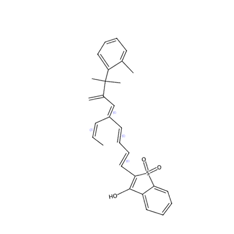 C=C(/C=C(\C=C/C)/C=C/C=C/C1=C(O)c2ccccc2S1(=O)=O)C(C)(C)c1ccccc1C